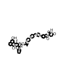 CCc1cccc2cc(O)cc(-c3ncc4c(N5CC6CCC(C5)N6)nc(OCC5(CN6CCC(N7CCC(CN8CCN(c9ccc%10c(c9)CN([C@H]9CCC(=O)NC9=O)C%10=O)CC8)CC7)CC6)CC5)nc4c3F)c12